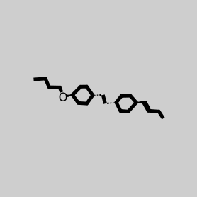 CCC=C[C@H]1CC[C@H](CC[C@H]2CC[C@H](OCCCC)CC2)CC1